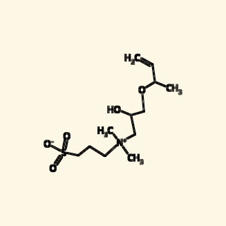 C=CC(C)OCC(O)C[N+](C)(C)CCCS(=O)(=O)[O-]